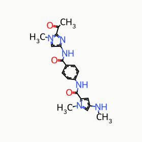 CNc1cc(C(=O)Nc2ccc(C(=O)Nc3cn(C)c(C(C)=O)n3)cc2)n(C)c1